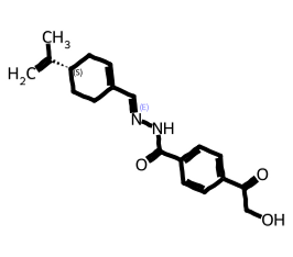 C=C(C)[C@@H]1CC=C(/C=N/NC(=O)c2ccc(C(=O)CO)cc2)CC1